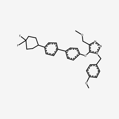 COCc1nnn(Cc2ccc(OC)cc2)c1Oc1ccc(-c2ccc(C3CCC(F)(F)CC3)cc2)cc1